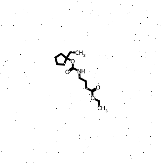 CCOC(=O)CCCNC(=O)OC1(CC)CCCC1